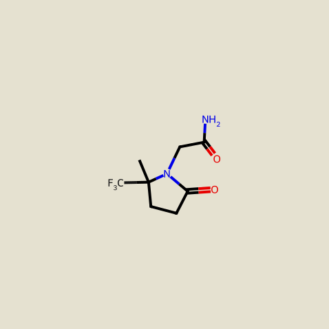 CC1(C(F)(F)F)CCC(=O)N1CC(N)=O